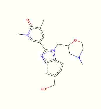 Cc1cc(-c2nc3cc(CO)ccc3n2CC2CN(C)CCO2)cn(C)c1=O